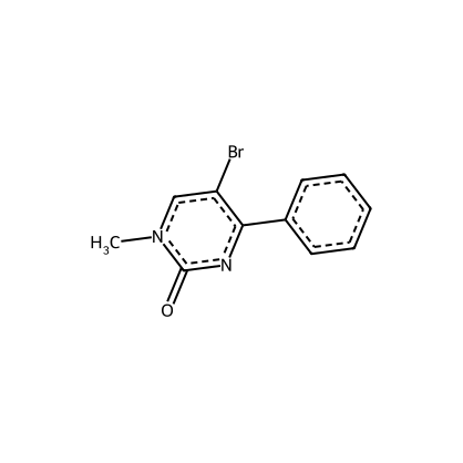 Cn1cc(Br)c(-c2ccccc2)nc1=O